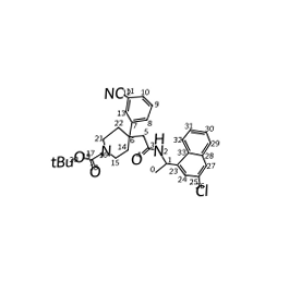 CC(NC(=O)CC1(c2cccc(C#N)c2)CCN(C(=O)OC(C)(C)C)CC1)c1cc(Cl)cc2ccccc12